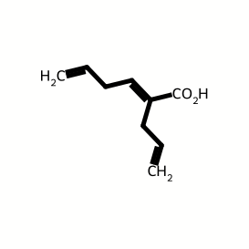 C=CC/C=C(\CC=C)C(=O)O